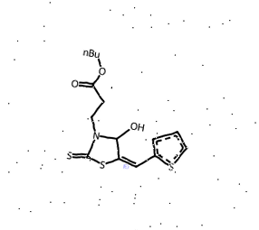 CCCCOC(=O)CCN1C(=S)S/C(=C/c2cccs2)C1O